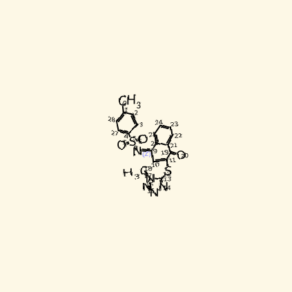 Cc1ccc(S(=O)(=O)/N=C2/C=C(Sc3nnnn3C)C(=O)c3ccccc32)cc1